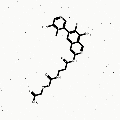 Cc1c(N)cncc1-c1cc2cc(NC(=O)CCNC(=O)COCC(N)=O)ncc2c(N)c1F